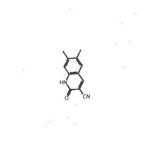 Cc1cc2cc(C#N)c(=O)[nH]c2cc1C